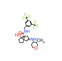 CC1COCCC1N[C@@H]1CC23CCCC2(O)[C@@]3(C(=O)NCc2cc(C(F)(F)F)cc(C(F)(F)F)c2)C1